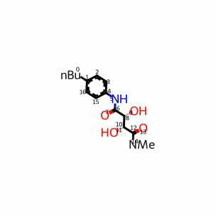 CCCCc1ccc(NC(=O)[C@H](O)[C@@H](O)C(=O)NC)cc1